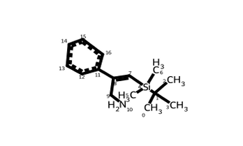 CC(C)(C)[Si](C)(C)C=C(CN)c1ccccc1